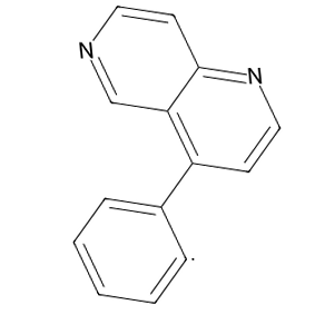 [c]1ccccc1-c1ccnc2ccncc12